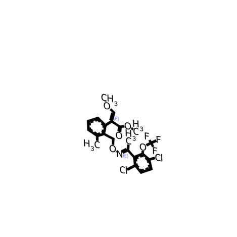 CO/C=C(/C(=O)OC)c1cccc(C)c1CO/N=C(\C)c1c(Cl)ccc(Cl)c1OC(F)(F)F